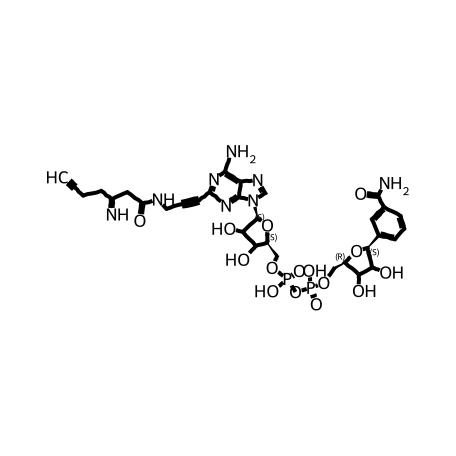 C#CCCC(=N)CC(=O)NCC#Cc1nc(N)c2ncn([C@H]3O[C@@H](COP(=O)(O)OP(=O)(O)OC[C@H]4O[C@@H](c5cccc(C(N)=O)c5)C(O)C4O)C(O)C3O)c2n1